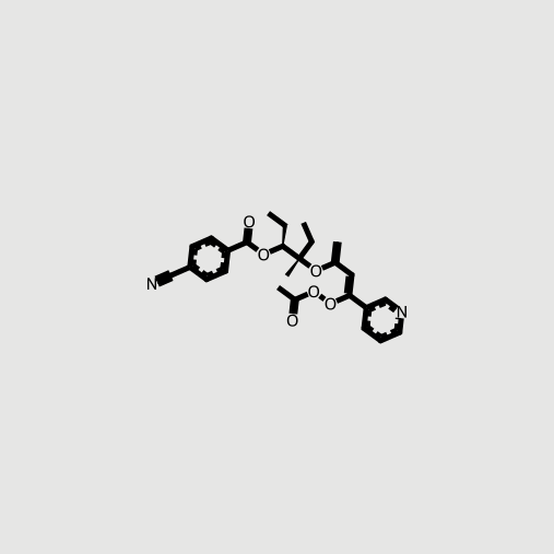 C=C(/C=C(\OOC(C)=O)c1cccnc1)O[C@@](C)(CC)[C@H](CC)OC(=O)c1ccc(C#N)cc1